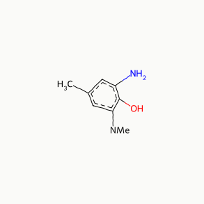 CNc1cc(C)cc(N)c1O